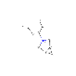 CCCC(CC)N1CC2CC2C1